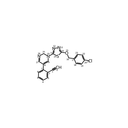 C#Cc1ccccc1C1=CN(c2nnc(OCc3ccc(Cl)cc3)s2)CN=C1